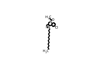 CCCCCCCCCCCCCCn1ncc2c1-c1cc(Cl)ccc1N(C(=O)CC)C2